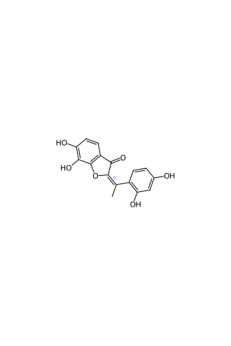 C/C(=C1\Oc2c(ccc(O)c2O)C1=O)c1ccc(O)cc1O